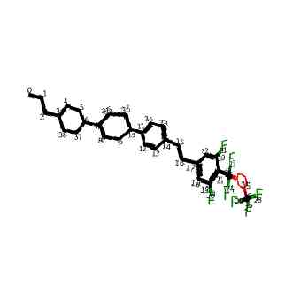 CCCC1CCC(C2CCC(c3ccc(CCc4cc(F)c(C(F)(F)OC(F)(F)F)c(F)c4)cc3)CC2)CC1